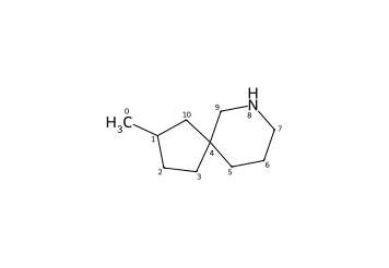 CC1CCC2(CCCNC2)C1